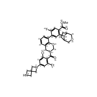 CCc1cc(N2CC3(CNC3)C2)cc(Cl)c1C(=O)N1COc2c(cccc2-c2cc(N3C4CCC3COC4)c(C(=O)OC)cc2F)C1